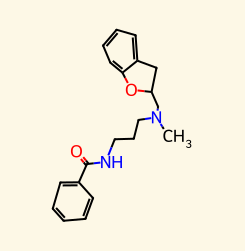 CN(CCCNC(=O)c1ccccc1)CC1Cc2ccccc2O1